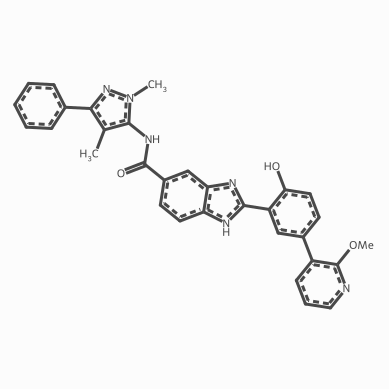 COc1ncccc1-c1ccc(O)c(-c2nc3cc(C(=O)Nc4c(C)c(-c5ccccc5)nn4C)ccc3[nH]2)c1